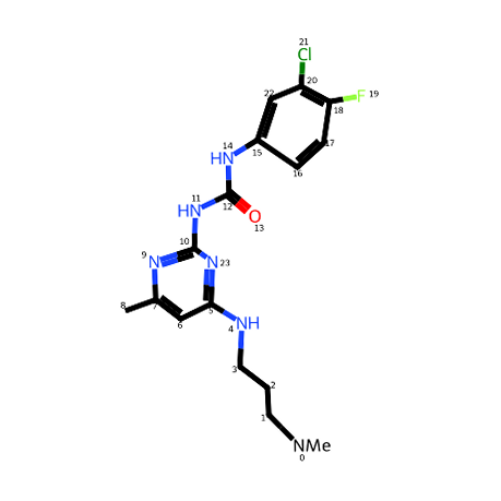 CNCCCNc1cc(C)nc(NC(=O)Nc2ccc(F)c(Cl)c2)n1